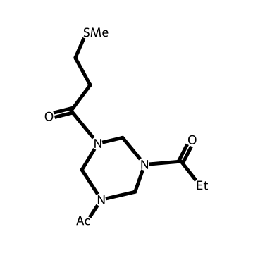 CCC(=O)N1CN(C(C)=O)CN(C(=O)CCSC)C1